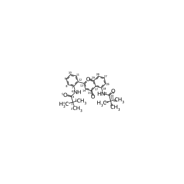 CC(C)(C)C(=O)Nc1ccccc1-c1cc(=O)c2c(NC(=O)C(C)(C)C)cccc2o1